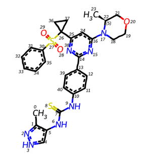 Cc1n[nH]cc1NC(=S)Nc1ccc(-c2nc(N3CCOC[C@@H]3C)cc(C3(S(=O)(=O)c4ccccc4)CC3)n2)cc1